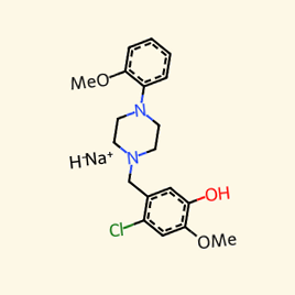 COc1cc(Cl)c(CN2CCN(c3ccccc3OC)CC2)cc1O.[H-].[Na+]